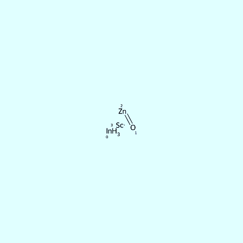 [InH3].[O]=[Zn].[Sc]